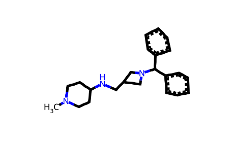 CN1CCC(NCC2CN(C(c3ccccc3)c3ccccc3)C2)CC1